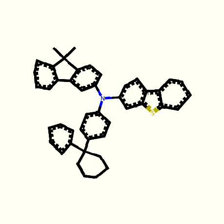 CC1(C)c2ccccc2-c2cc(N(c3ccc(C4(c5ccccc5)CCCCC4)cc3)c3ccc4c(c3)sc3ccccc34)ccc21